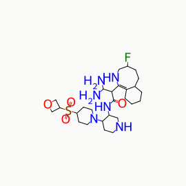 NC(N)C(C(=O)NC1CNCCC1N1CCC(S(=O)(=O)C2COC2)CC1)/C1=C2\CCCCC2CCC(F)CN1